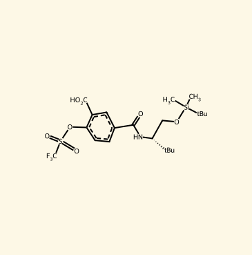 CC(C)(C)[C@@H](CO[Si](C)(C)C(C)(C)C)NC(=O)c1ccc(OS(=O)(=O)C(F)(F)F)c(C(=O)O)c1